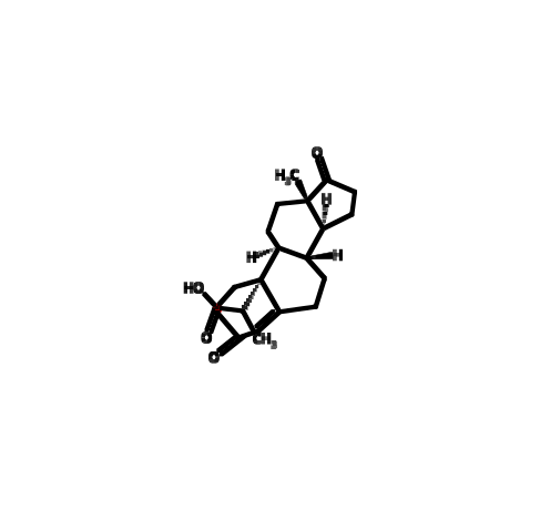 CC(C(=O)O)[C@@]12CCC(=O)C=C1CC[C@H]1[C@@H]3CCC(=O)[C@@]3(C)CC[C@@H]12